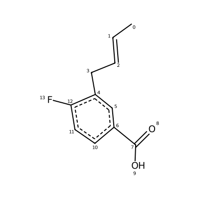 CC=CCc1cc(C(=O)O)ccc1F